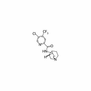 O=C(N[C@H]1CN2CCC1CC2)c1cc(C(F)(F)F)c(Cl)cn1